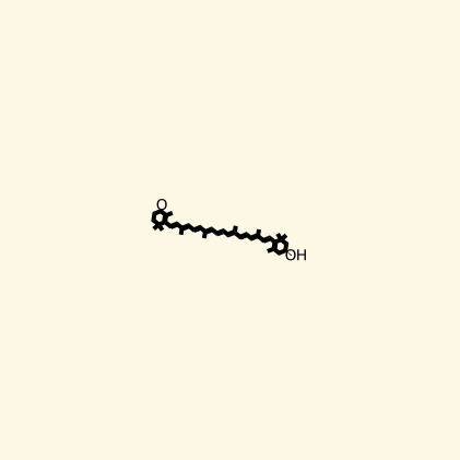 CC1=C(/C=C/C(C)=C/C=C/C(C)=C/C=C/C=C(C)/C=C/C=C(C)/C=C/C2=C(C)C(=O)CCC2(C)C)C(C)(C)C[C@H](O)C1